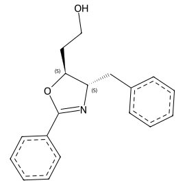 OCC[C@@H]1OC(c2ccccc2)=N[C@H]1Cc1ccccc1